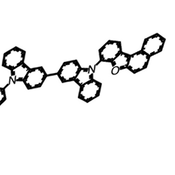 c1ccc(-n2c3ccccc3c3cc(-c4ccc5c(c4)c4ccccc4n5-c4cccc5c4oc4ccc6ccccc6c45)ccc32)cc1